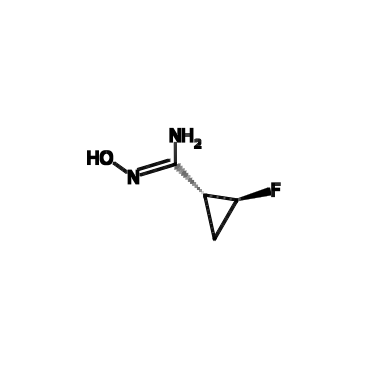 NC(=NO)[C@H]1C[C@@H]1F